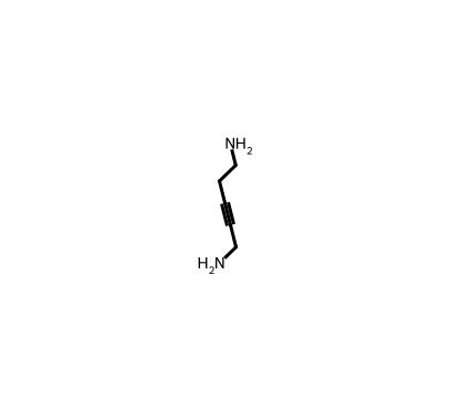 NCC#CCCN